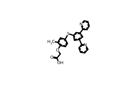 Cc1cc(Sc2cc(-c3ccccn3)cc(-c3ccccn3)c2)ccc1OCC(=O)O